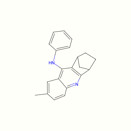 Cc1ccc2nc3c(c(Nc4ccccc4)c2c1)C1CCC3C1